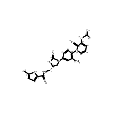 Cc1cc(N2C[C@H](CNC(=O)c3ccc(Cl)s3)OC2=O)ccc1-n1cccc(OC(F)F)c1=O